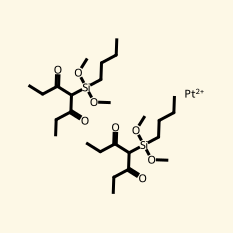 CCCC[Si](OC)(OC)C(C(=O)CC)C(=O)CC.CCCC[Si](OC)(OC)C(C(=O)CC)C(=O)CC.[Pt+2]